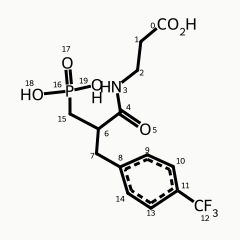 O=C(O)CCNC(=O)C(Cc1ccc(C(F)(F)F)cc1)CP(=O)(O)O